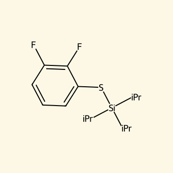 CC(C)[Si](Sc1cccc(F)c1F)(C(C)C)C(C)C